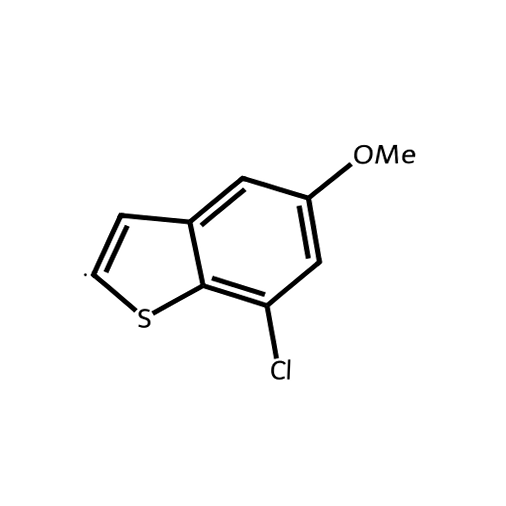 COc1cc(Cl)c2s[c]cc2c1